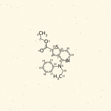 CCOC(=O)c1cc2c(N(CC)c3ccccc3)nccc2s1